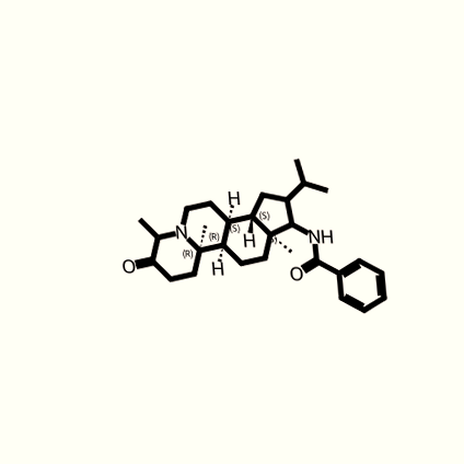 CC(C)C1C[C@H]2[C@@H]3CCN4C(C)C(=O)CC[C@]4(C)[C@@H]3CC[C@]2(C)C1NC(=O)c1ccccc1